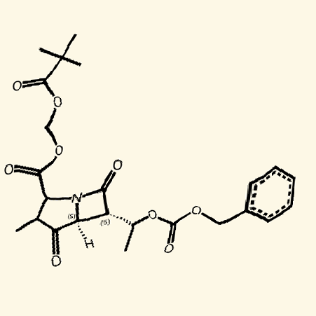 CC1C(=O)[C@@H]2[C@@H](C(C)OC(=O)OCc3ccccc3)C(=O)N2C1C(=O)OCOC(=O)C(C)(C)C